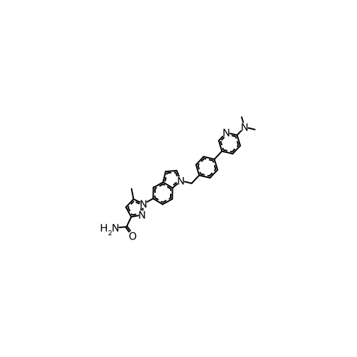 Cc1cc(C(N)=O)nn1-c1ccc2c(ccn2Cc2ccc(-c3ccc(N(C)C)nc3)cc2)c1